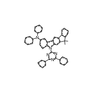 CC1(C)c2ccccc2-c2cc3c4cc(N(c5ccccc5)c5ccccc5)ccc4n(-c4nc(-c5ccccc5)nc(-c5ccccc5)n4)c3cc21